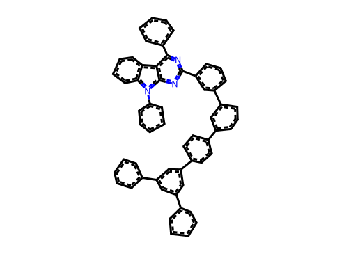 c1ccc(-c2cc(-c3ccccc3)cc(-c3ccc(-c4cccc(-c5cccc(-c6nc(-c7ccccc7)c7c8ccccc8n(-c8ccccc8)c7n6)c5)c4)cc3)c2)cc1